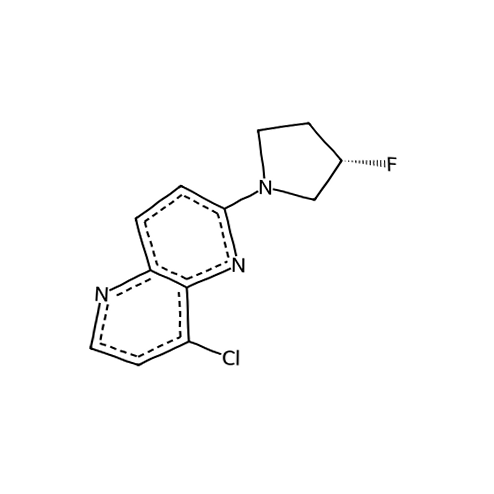 F[C@H]1CCN(c2ccc3nccc(Cl)c3n2)C1